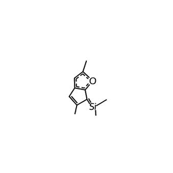 CC1=Cc2cc(C)oc2C1=[Si](C)C